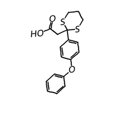 O=C(O)CC1(c2ccc(Oc3ccccc3)cc2)SCCCS1